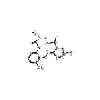 Cc1cccc(NC(=O)N(C)N)c1COc1ccc(O)cc1C(F)F